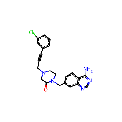 Nc1ncnc2cc(CN3CCN(CC#Cc4cccc(Cl)c4)CC3=O)ccc12